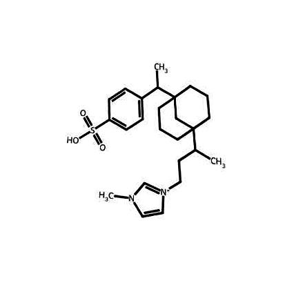 CC(CC[n+]1ccn(C)c1)C12CCCC(C(C)c3ccc(S(=O)(=O)O)cc3)(CCC1)C2